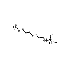 CNC(=O)NCCCCCCCCN